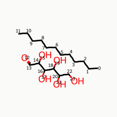 CCCCCCCCCCCC.O=CC(O)C(O)C(O)C(O)CO